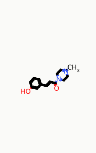 CN1CCN(C(=O)C=Cc2cccc(O)c2)CC1